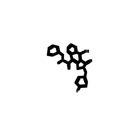 CN(Cc1ccccc1)C(=O)c1c2c(c(O)c3ncccc13)C(=O)N(Cc1ccc(F)cc1)C2